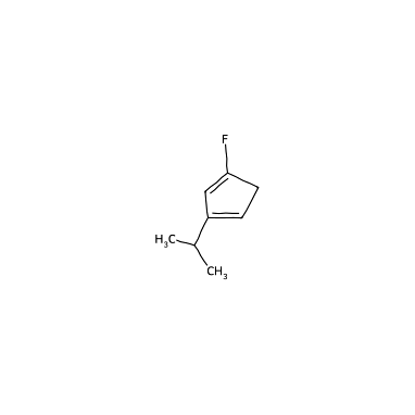 CC(C)C1=CCC(F)=C1